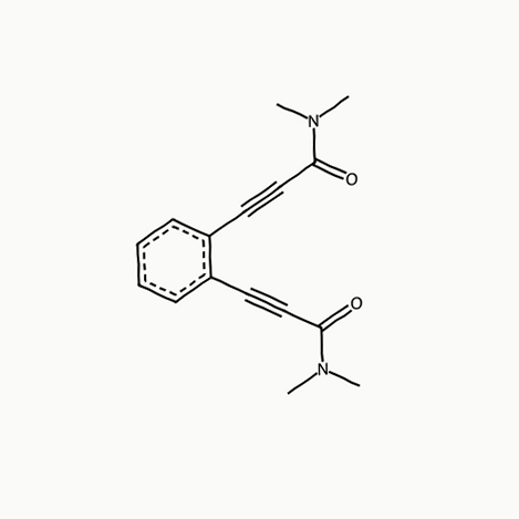 CN(C)C(=O)C#Cc1ccccc1C#CC(=O)N(C)C